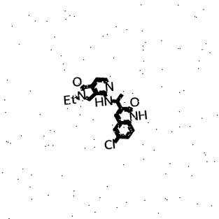 CCN1Cc2c(ccnc2NC(C)c2cc3cc(Cl)ccc3[nH]c2=O)C1=O